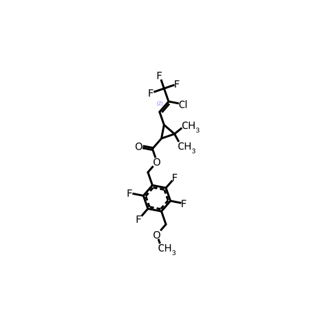 COCc1c(F)c(F)c(COC(=O)C2C(/C=C(\Cl)C(F)(F)F)C2(C)C)c(F)c1F